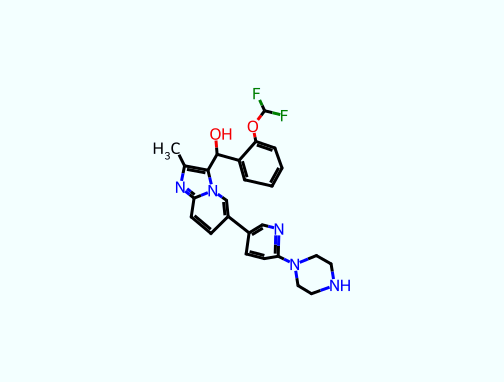 Cc1nc2ccc(-c3ccc(N4CCNCC4)nc3)cn2c1C(O)c1ccccc1OC(F)F